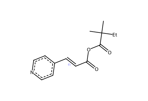 CCC(C)(C)C(=O)OC(=O)/C=C/c1ccncc1